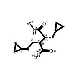 CCNC(=O)[C@H](CC1CC1)[C@H](CCC1CC1)C(N)=O